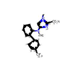 Cn1cc(N(C=O)c2ccccc2-c2ccc(C(F)(F)F)cc2)nc1C(=O)O